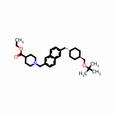 CCOC(=O)C1CCN(Cc2ccc3cc(C[C@H]4CC[C@H](COC(C)(C)C)CC4)ccc3c2)CC1